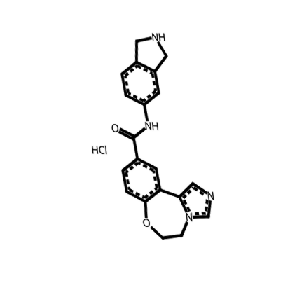 Cl.O=C(Nc1ccc2c(c1)CNC2)c1ccc2c(c1)-c1cncn1CCO2